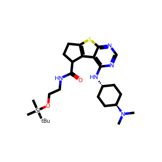 CN(C)[C@H]1CC[C@H](Nc2ncnc3sc4c(c23)C(C(=O)NCCO[Si](C)(C)C(C)(C)C)CC4)CC1